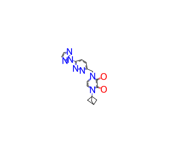 O=c1c(=O)n(C23CC(C2)C3)ccn1Cc1ccc(-n2nccn2)nn1